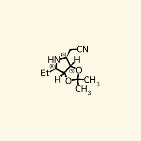 CC[C@H]1N[C@@H](CC#N)[C@@H]2OC(C)(C)O[C@@H]21